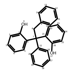 Oc1ccccc1C(Cc1ccccc1)(c1ccccc1)c1ccccc1O